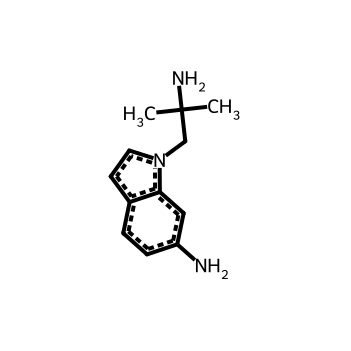 CC(C)(N)Cn1ccc2ccc(N)cc21